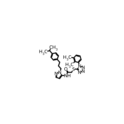 Cc1cccc(-n2nnnc2SCC(=O)Nc2ccnn2CCCc2ccc(C(C)C)cc2)c1C